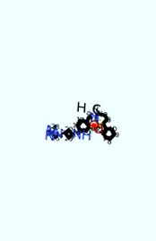 C[C@H]1CCC(c2ccccc2)S(=O)(=O)N1Cc1ccc(N[C@H]2C[C@H](n3cnnc3)C2)cc1F